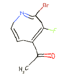 CC(=O)c1ccnc(Br)c1F